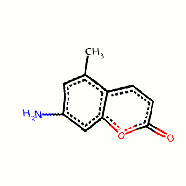 Cc1cc(N)cc2oc(=O)ccc12